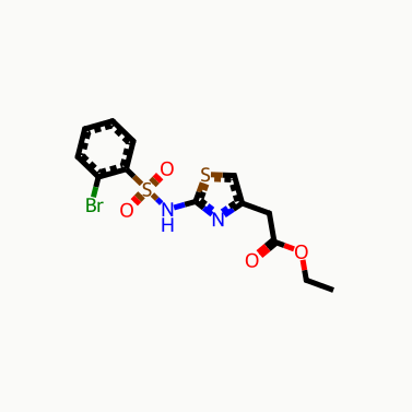 CCOC(=O)Cc1csc(NS(=O)(=O)c2ccccc2Br)n1